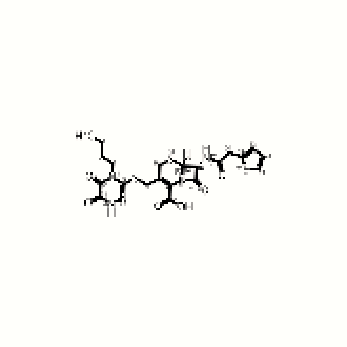 CCCCn1c(SCC2=C(C(=O)O)N3C(=O)[C@@H](NC(=O)Cc4cccs4)[C@H]3SC2)n[nH]c(=O)c1=O